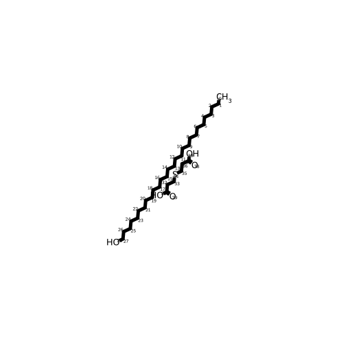 CCCCCCCCCCCCCCCCCCCCCCCCCCCCO.O=C(O)CCSCCC(=O)O